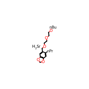 CCCCOCCOCCOCc1cc2c(cc1CCC)OCO2.[SrH2]